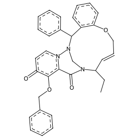 CCC1/C=C/COc2ccccc2C(c2ccccc2)N2CN1C(=O)c1c(OCc3ccccc3)c(=O)ccn12